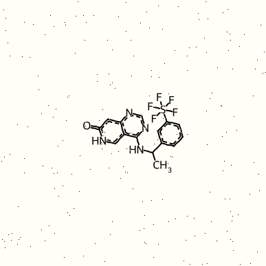 CC(Nc1ncnc2cc(=O)[nH]cc12)c1cccc(S(F)(F)(F)(F)F)c1